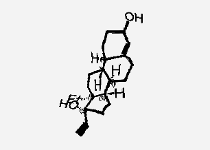 C#C[C@]1(O)CC[C@H]2[C@@H]3CCC4=CC(O)CC[C@@H]4[C@H]3CC[C@@]21CC